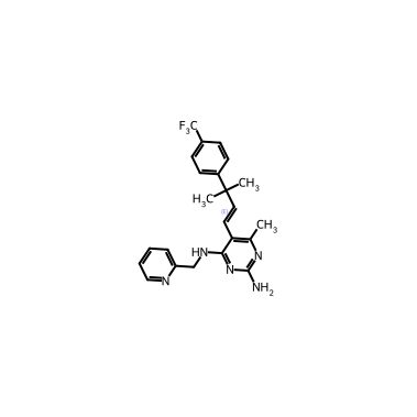 Cc1nc(N)nc(NCc2ccccn2)c1/C=C/C(C)(C)c1ccc(C(F)(F)F)cc1